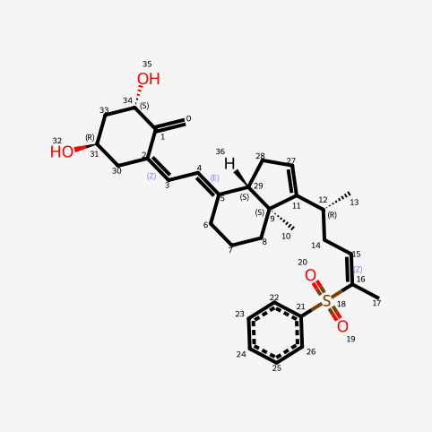 C=C1/C(=C\C=C2/CCC[C@]3(C)C([C@H](C)C/C=C(/C)S(=O)(=O)c4ccccc4)=CC[C@@H]23)C[C@@H](O)C[C@@H]1O